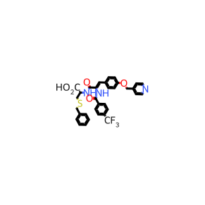 O=C(N[C@@H](CSCc1ccccc1)C(=O)O)C(=Cc1ccc(OCc2ccncc2)cc1)NC(=O)c1ccc(C(F)(F)F)cc1